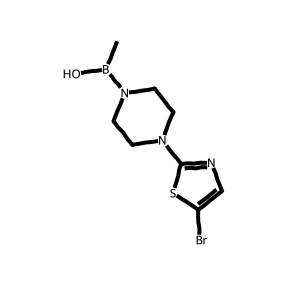 CB(O)N1CCN(c2ncc(Br)s2)CC1